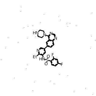 CCc1ncc(-c2ccc3ncnc(N4CCNCC4)c3c2)cc1NS(=O)(=O)c1ccc(F)cc1F